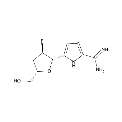 N=C(N)c1ncc([C@@H]2O[C@H](CO)C[C@H]2F)[nH]1